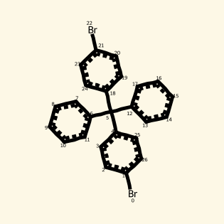 Brc1ccc(C(c2ccccc2)(c2ccccc2)c2ccc(Br)cc2)cc1